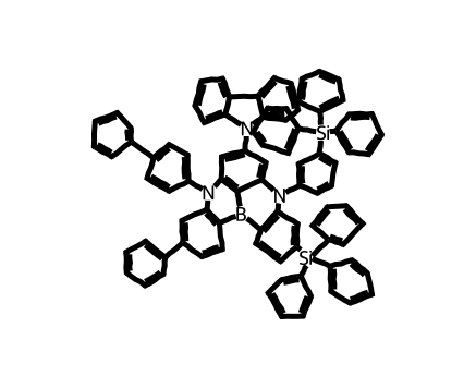 c1ccc(-c2ccc(N3c4cc(-c5ccccc5)ccc4B4c5ccc([Si](c6ccccc6)(c6ccccc6)c6ccccc6)cc5N(c5cccc([Si](c6ccccc6)(c6ccccc6)c6ccccc6)c5)c5cc(-n6c7ccccc7c7ccccc76)cc3c54)cc2)cc1